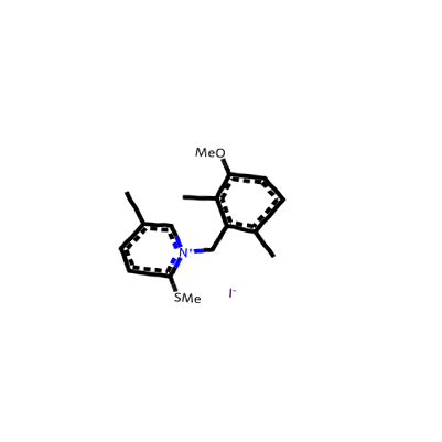 COc1ccc(C)c(C[n+]2cc(C)ccc2SC)c1C.[I-]